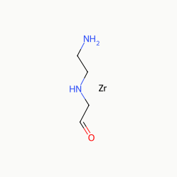 NCCNCC=O.[Zr]